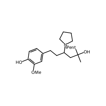 CCCCCC(C)(O)CC(CCc1ccc(O)c(OC)c1)N1CCCC1